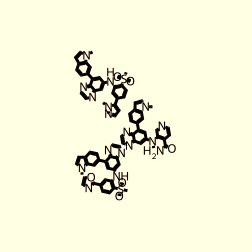 CN(c1cc(-c2ccc3ccn(C)c3c2)c2nccnc2c1)c1cnccc1C(N)=O.Cn1ccc2ccc(-c3cc(Nc4cc(-c5ncco5)ccc4S(C)(=O)=O)cc4nccnc34)cc21.Cn1nccc1-c1ccc(S(C)(=O)=O)c(Nc2cc(-c3ccc4ccn(C)c4c3)c3nccnc3c2)c1